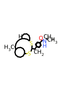 C=C(c1ccc(C(=O)NC(C)C)cc1)C1CSC2CCCCCC(CCCC2)[C@H](C)CCC[C@H]2CCCCCC(CC2)SC1